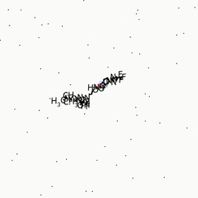 C[Si](C)(C)CCOCn1ncc(NCCCONC(=O)/C=C2/CCN(c3ncc(C(F)(F)F)cn3)C[C@H]2F)c(C(F)(F)F)c1=O